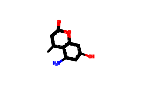 Cc1cc(=O)oc2cc(O)cc(N)c12